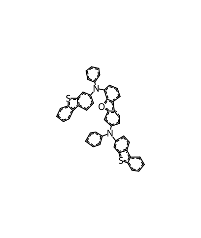 c1ccc(N(c2ccc3c(c2)oc2c(N(c4ccccc4)c4ccc5c(c4)sc4ccccc45)cccc23)c2ccc3c(c2)sc2ccccc23)cc1